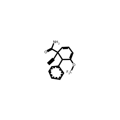 C#CC1(C(N)=O)C=CC=C(OC(F)(F)F)C1c1ccccc1